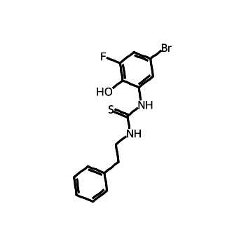 Oc1c(F)cc(Br)cc1NC(=S)NCCc1ccccc1